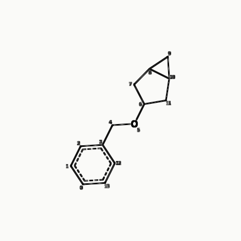 c1ccc(COC2CC3CC3C2)cc1